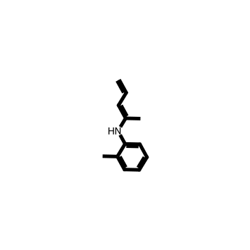 C=C/C=C(\C)Nc1ccccc1C